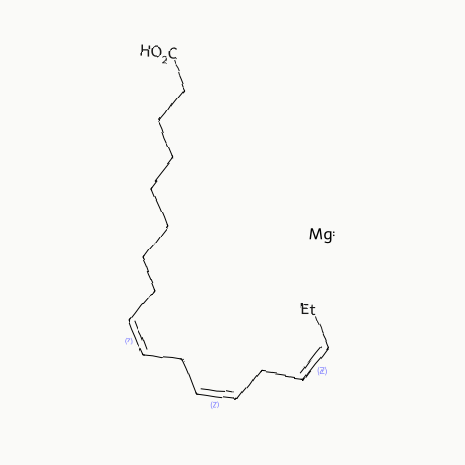 CC/C=C\C/C=C\C/C=C\CCCCCCCC(=O)O.[Mg]